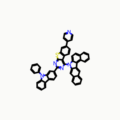 c1ccc(-n2c3ccccc3c3ccc(-c4nc(-n5c6cc7ccccc7cc6c6c7ccccc7ccc65)c5c(n4)sc4cc(-c6ccncc6)ccc45)cc32)cc1